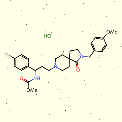 COC(=O)NC(CCN1CCC2(CC1)CCN(Cc1ccc(OC)cc1)C2=O)c1ccc(Cl)cc1.Cl